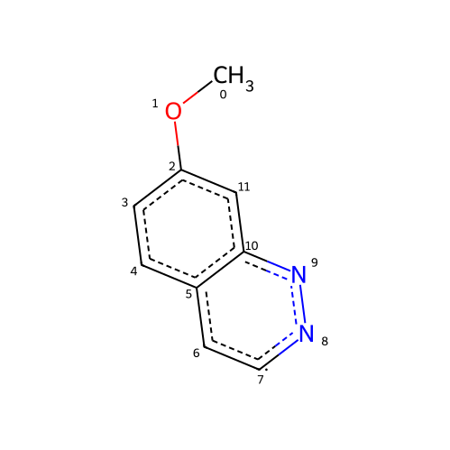 COc1ccc2c[c]nnc2c1